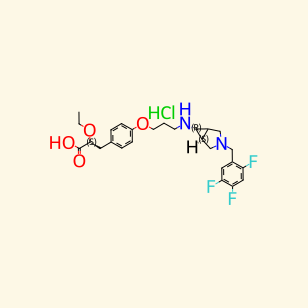 CCO[C@@H](Cc1ccc(OCCCN[C@@H]2C3CN(Cc4cc(F)c(F)cc4F)C[C@H]32)cc1)C(=O)O.Cl